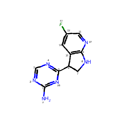 Nc1ncnc(C2CNc3ncc(F)cc32)n1